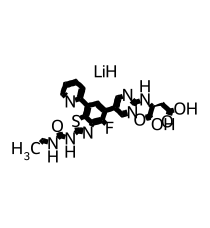 CCNC(=O)Nc1nc2c(F)c(-c3cnc(N[C@@H](CC(=O)O)C(=O)O)nc3)cc(-c3ccccn3)c2s1.[LiH]